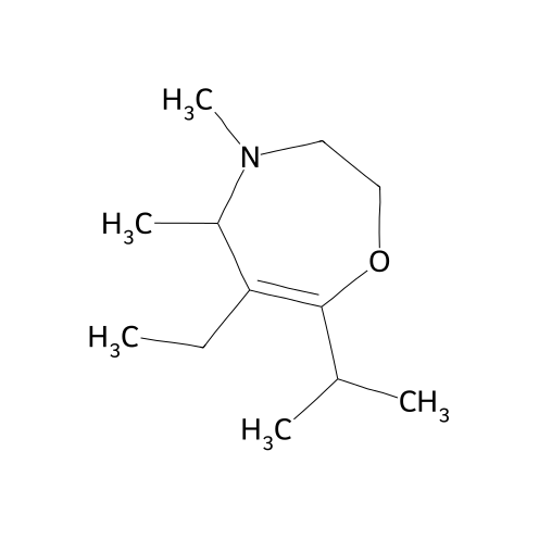 CCC1=C(C(C)C)OCCN(C)C1C